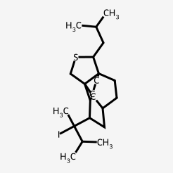 CC(C)CC1SCC23CC4CCC12CCC3C(C(C)(I)C(C)C)C4